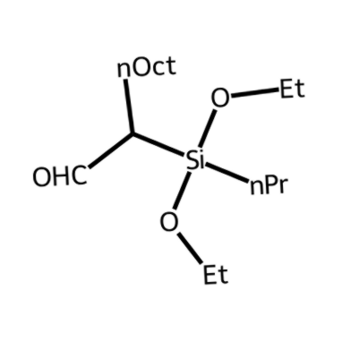 CCCCCCCCC(C=O)[Si](CCC)(OCC)OCC